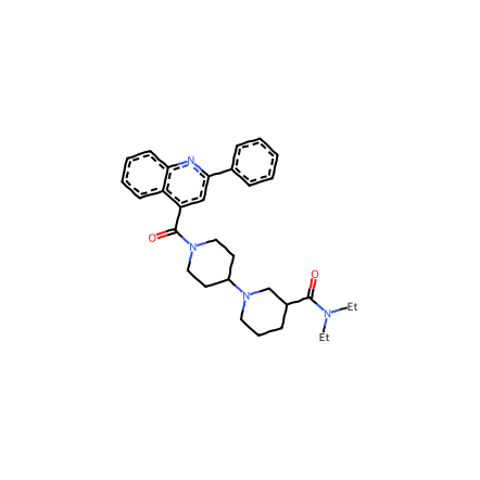 CCN(CC)C(=O)C1CCCN(C2CCN(C(=O)c3cc(-c4ccccc4)nc4ccccc34)CC2)C1